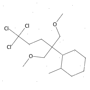 COCC(CCC(Cl)(Cl)Cl)(COC)C1CCCCC1C